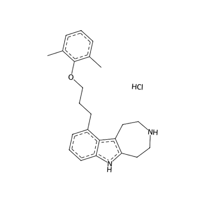 Cc1cccc(C)c1OCCCc1cccc2[nH]c3c(c12)CCNCC3.Cl